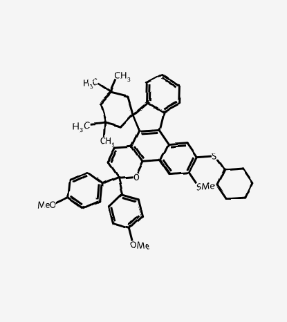 COc1ccc(C2(c3ccc(OC)cc3)C=Cc3c4c(c5cc(SC6CCCCC6)c(SC)cc5c3O2)-c2ccccc2C42CC(C)(C)CC(C)(C)C2)cc1